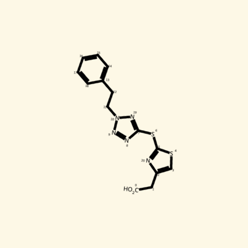 O=C(O)Cc1csc(Sc2nnn(CCc3ccccc3)n2)n1